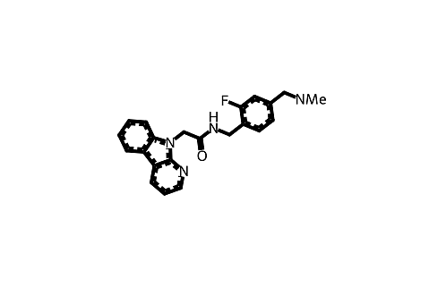 CNCc1ccc(CNC(=O)Cn2c3ccccc3c3cccnc32)c(F)c1